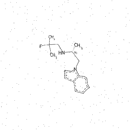 C[C@H](Cn1ccc2ccccc21)NCC(C)(C)F